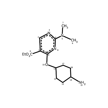 CCOC(=O)c1cnc(N(C)C)nc1OC1CCC(N)CC1